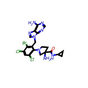 Nc1ncnc2c1ncn2Cc1c(Br)c(Cl)cc(Cl)c1N1CCC(N)(C(=O)NC2CC2)C1